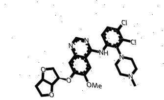 COc1cc2c(Nc3ccc(Cl)c(Cl)c3N3CCN(C)CC3)ncnc2cc1O[C@@H]1COC2CCOC21